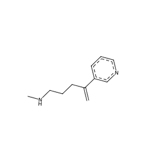 C=C(CCCNC)c1cccnc1